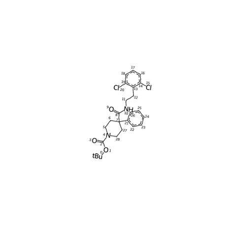 CC(C)(C)OC(=O)N1CCC(C(=O)NCCc2c(Cl)cccc2Cl)(c2ccccc2)CC1